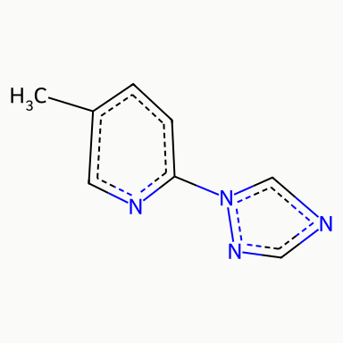 Cc1ccc(-n2cncn2)nc1